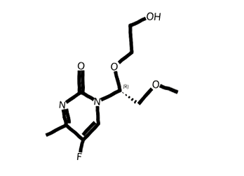 COC[C@@H](OCCO)n1cc(F)c(C)nc1=O